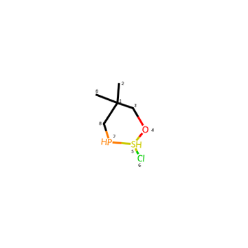 CC1(C)CO[SH](Cl)PC1